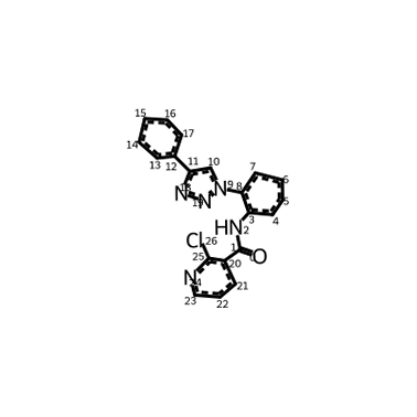 O=C(Nc1ccccc1-n1cc(-c2ccccc2)nn1)c1cccnc1Cl